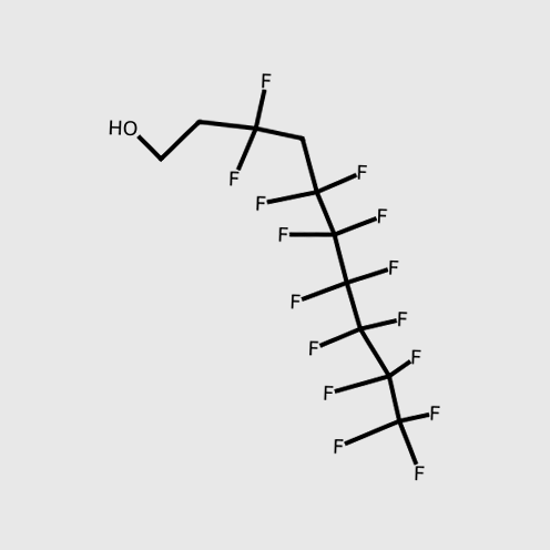 OCCC(F)(F)CC(F)(F)C(F)(F)C(F)(F)C(F)(F)C(F)(F)C(F)(F)F